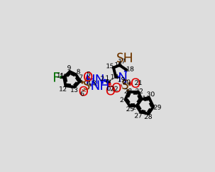 O=C(NNS(=O)(=O)c1ccc(F)cc1)[C@@H]1C[C@@H](S)CN1S(=O)(=O)c1ccc2ccccc2c1